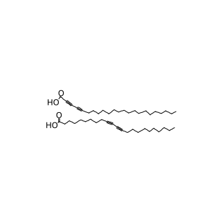 CCCCCCCCCCC#CC#CCCCCCCCCC(=O)O.CCCCCCCCCCCCCCCCCCC#CC#CC(=O)O